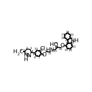 C=C1CCC(c2ccc(OCCNC[C@H](O)COc3cccc4[nH]c5ccccc5c34)c(Cl)c2)=NN1